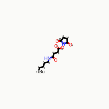 CC(C)(C)CCCCNC(=O)CCC(=O)ON1C(=O)CCC1=O